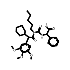 CCCCCN(C(=O)NC(C(N)=O)c1ccccc1)C(=O)C(c1cc(OC)c(OC)c(OC)c1)C1CCCCC1